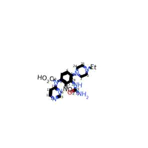 CCN1CCN(c2ccc(N(C(=O)O)c3ccncn3)c([N+](=O)[O-])c2NC(N)=O)CC1